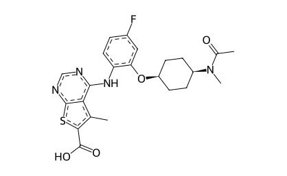 CC(=O)N(C)[C@H]1CC[C@@H](Oc2cc(F)ccc2Nc2ncnc3sc(C(=O)O)c(C)c23)CC1